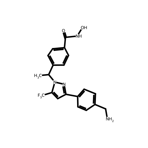 CC(c1ccc(C(=O)NO)cc1)n1nc(-c2ccc(CN)cc2)cc1C(F)(F)F